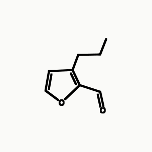 CCCc1ccoc1C=O